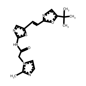 Cc1nccn1CC(=O)Nc1ncc(C=Cc2ncc(C(C)(C)C)o2)s1